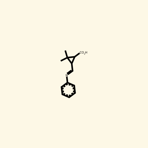 CC1(C)C(C=Nc2ccccc2)C1C(=O)O